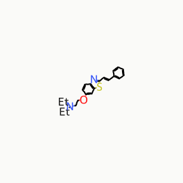 CCN(CC)CCOc1ccc2nc(C=Cc3ccccc3)sc2c1